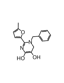 Cc1ccc(C2=NC(O)=C(O)CN2Cc2ccccc2)o1